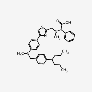 CCCC(CCC)c1ccc(CN(C)c2ccc(-c3csc(CN(C)C(C(=O)O)c4ccccc4)n3)cc2)cc1